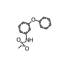 CS(=O)(=O)Nc1cccc(Oc2ccccc2)c1